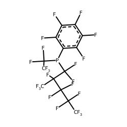 Fc1c(F)c(F)c(P(C(F)(F)C(F)(F)F)C(F)(F)C(F)(C(F)(F)F)C(F)(F)C(F)(F)C(F)(F)F)c(F)c1F